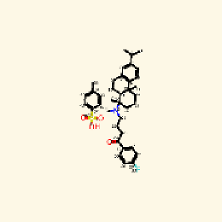 CC(C)c1ccc2c(c1)CCC1C2(C)CCCC1(C)N(C)CCCC(=O)c1ccc(F)cc1.Cc1ccc(S(=O)(=O)O)cc1